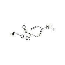 CCCOC(=O)C1(CC)C=CC(N)=CC1